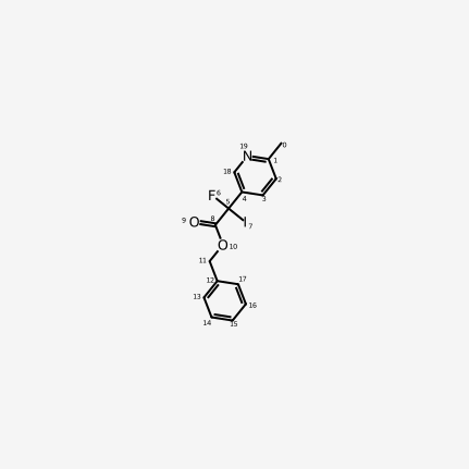 Cc1ccc(C(F)(I)C(=O)OCc2ccccc2)cn1